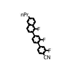 CCCc1ccc2c(F)c(-c3ccc(-c4ccc(C#N)c(F)c4)c(F)c3)ccc2c1